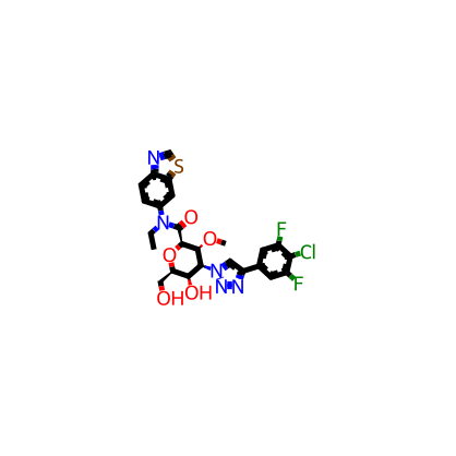 CCN(C(=O)[C@@H]1O[C@H](CO)[C@H](O)[C@H](n2cc(-c3cc(F)c(Cl)c(F)c3)nn2)[C@H]1OC)c1ccc2ncsc2c1